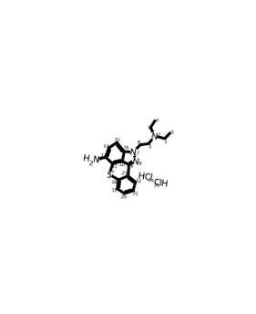 CCN(CC)CCn1nc2c3c(c(N)ccc31)Sc1ccccc1-2.Cl.Cl